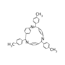 Cc1ccc(-c2nc3ccc(cc3)c(-c3ccc(C)cc3)nc3ccc(cc3)c(-c3ccc(C)cc3)nc3ccc2cc3)cc1